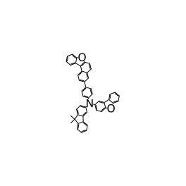 CC1(C)c2ccccc2-c2cc(N(c3ccc(-c4ccc5c(ccc6oc7ccccc7c65)c4)cc3)c3ccc4oc5ccccc5c4c3)ccc21